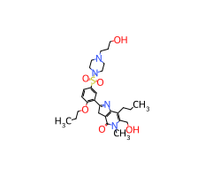 CCCOc1ccc(S(=O)(=O)N2CCN(CCCO)CC2)cc1C1=Nc2c(CCC)c(CO)n(C)c(=O)c2C1